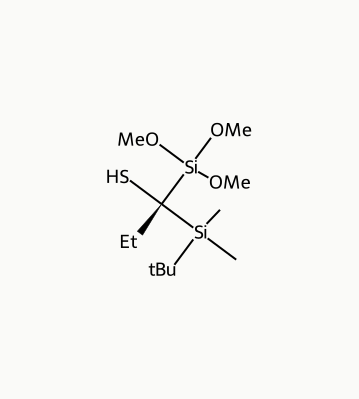 CC[C@@](S)([Si](OC)(OC)OC)[Si](C)(C)C(C)(C)C